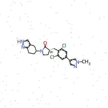 Cn1cc(-c2cc(Cl)c(C[C@@H]3CCN(C4CCc5n[nH]cc5C4)C3=O)c(Cl)c2)cn1